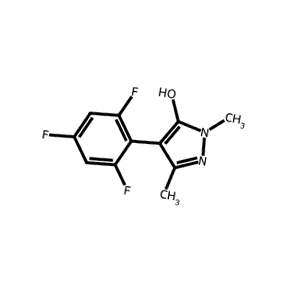 Cc1nn(C)c(O)c1-c1c(F)cc(F)cc1F